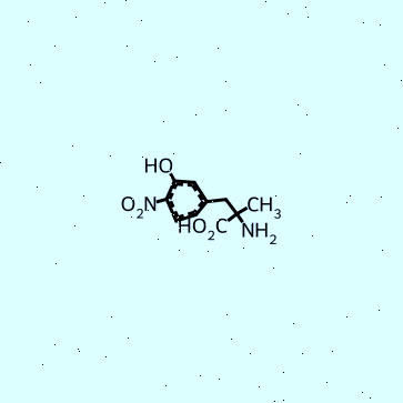 CC(N)(Cc1ccc([N+](=O)[O-])c(O)c1)C(=O)O